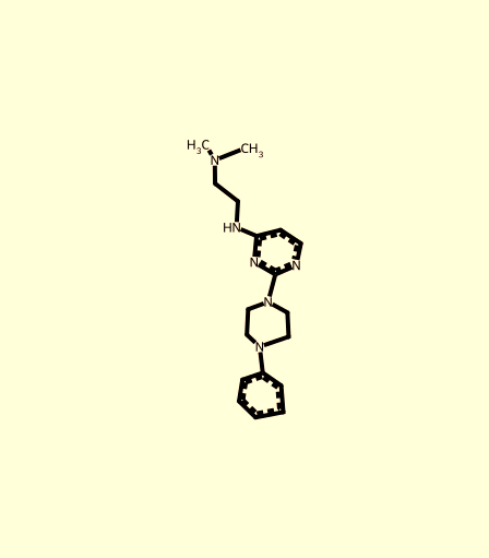 CN(C)CCNc1ccnc(N2CCN(c3ccccc3)CC2)n1